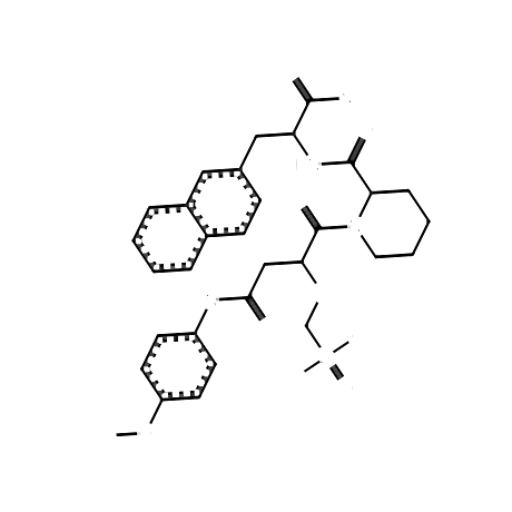 COc1ccc(NC(=O)CC(SCP(=O)(O)O)C(=O)N2CCCCC2C(=O)NC(Cc2ccc3ccccc3c2)C(N)=O)cc1